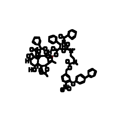 CC(=O)O[C@H]1C(=O)[C@@]2(C)[C@H]([C@H](OC(=O)c3ccccc3)[C@]3(O)C[C@H](OC(=O)[C@H](OC(=O)N(C)CCN(C)C(=O)OCc4ccc([N+](=O)[O-])c(Oc5ccc(-c6ccccc6)cc5)c4)[C@@H](NC(=O)c4ccccc4)c4ccccc4)C(C)=C1C3(C)C)[C@]1(OC(C)=O)CO[C@@H]1C[C@@H]2O